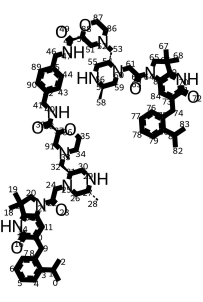 CC(C)c1ccccc1Cc1cc2c([nH]c1=O)C(C)(C)CN2C(=O)CN1C[C@@H](C)NC[C@@H]1CN1CCO[C@H](C(=O)NCc2ccc(CNC(=O)[C@@H]3CN(C[C@H]4CN[C@H](C)CN4CC(=O)N4CC(C)(C)c5[nH]c(=O)c(Cc6ccccc6C(C)C)cc54)CCO3)cc2)C1